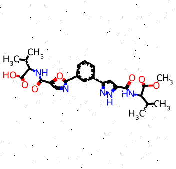 COC(=O)C(NC(=O)c1cc(-c2cccc(-c3ncc(C(=O)NC(C(=O)O)C(C)C)o3)c2)n[nH]1)C(C)C